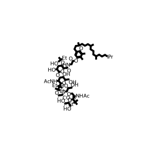 CCC(C)(C)OC1C(C(=O)NCC(=O)Oc2cc3c(c(C)c2C)OC(C)(CCCC(C)CCCC(C)CCCC(C)C)CC3)OC(OC2C(O)C(CO)OC(C(C)(CC)C(C)(CC)O[C@@H](C)C(OC(OC[C@H](NC(C)=O)C(OC(CO)[C@H](C)O)C(C)(C)CC)[C@@H](O)CO)C(=O)O)C2NC(C)=O)C(O)C1O